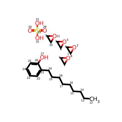 C1CO1.C1CO1.C1CO1.C1CO1.CCCCCCCCCc1ccccc1O.O=S(=O)(O)O